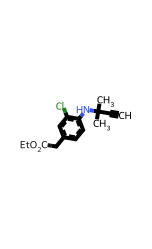 C#CC(C)(C)Nc1ccc(CC(=O)OCC)cc1Cl